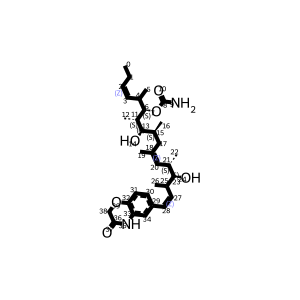 CC/C=C\C(C)[C@H](OC(N)=O)[C@@H](C)[C@H](O)[C@@H](C)C/C(C)=C\[C@H](C)[C@@H](O)C(C)/C=C\c1ccc2c(c1)NC(=O)CO2